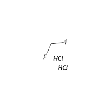 Cl.Cl.FCF